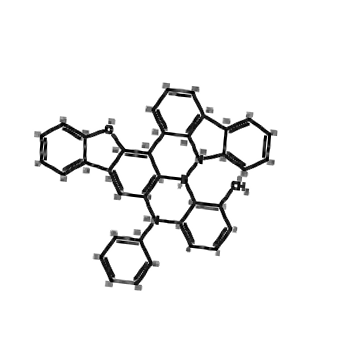 Cc1cccc2c1B1c3c(cc4c(oc5ccccc54)c3-c3cccc4c5ccccc5n1c34)N2c1ccccc1